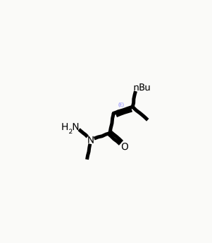 CCCC/C(C)=C/C(=O)N(C)N